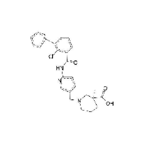 C[C@]1(C(=O)O)CCCN(Cc2ccc(NC(=O)c3cccc(-c4ccccc4)c3Cl)nc2)C1